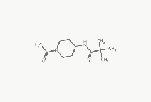 CC(=O)N1CCC(NC(=O)C(C)(C)C)CC1